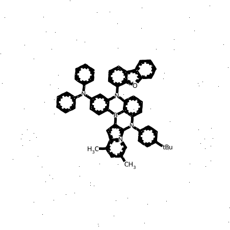 Cc1cc(C)c2cc3c(n2c1)N(c1ccc(C(C)(C)C)cc1)c1cccc2c1B3c1ccc(N(c3ccccc3)c3ccccc3)cc1N2c1cccc2c1oc1ccccc12